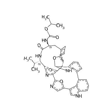 CC(C)OC(=O)N[C@H]1Cc2ccc3c(c2)C24c5cccc(c5NC2O3)-c2cccc3[nH]cc(c23)-c2cnc(o2)-c2nc(oc24)[C@H](C(C)C)NC1=O